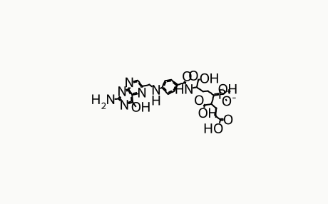 Nc1nc(O)c2nc(CNc3ccc(C(=O)NC(CC/C(C(CCC(=O)O)C(=O)O)=[P+](/[O-])O)C(=O)O)cc3)cnc2n1